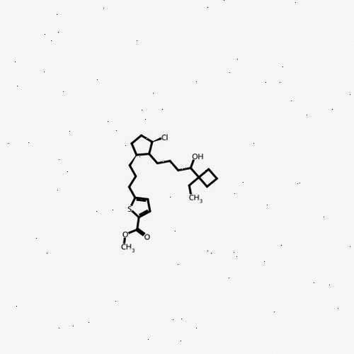 CCC1(C(O)CCCC2[C@@H](CCCc3ccc(C(=O)OC)s3)CC[C@H]2Cl)CCC1